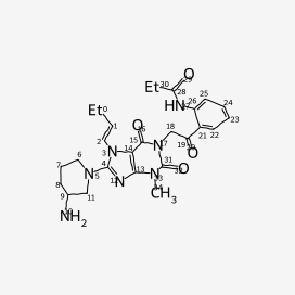 CC/C=C/n1c(N2CCCC(N)C2)nc2c1c(=O)n(CC(=O)c1ccccc1NC(=O)CC)c(=O)n2C